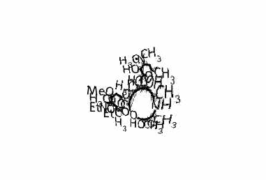 CCN(CC)C[C@]1(O)[C@H](C)O[C@@H](O[C@@H]2[C@@H](C)[C@@H](O[C@@H]3O[C@H](C)C[C@H](N(C)C)[C@H]3O)[C@](C)(O)C[C@@H](C)NC[C@@H](C)[C@H](O)[C@](C)(O)COC(=O)[C@@H]2C)C[C@@]1(C)OC